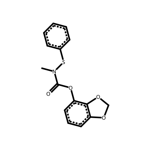 CN(Sc1ccccc1)C(=O)Oc1cccc2c1OCO2